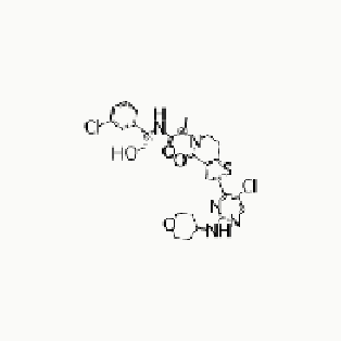 C[C@H](C(=O)N[C@H](CO)c1cccc(Cl)c1)N1CCc2sc(-c3nc(NC4CCOCC4)ncc3Cl)cc2C1=O